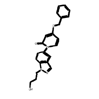 O=c1cc(OCc2ccccc2)ccn1-c1ccc2c(cnn2CCCO)c1